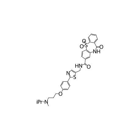 CC(C)N(C)CCCOc1ccc(-c2ncc(CNC(=O)c3ccc4c(c3)NC(=O)c3ccccc3S4(=O)=O)s2)cc1